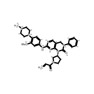 C=CC(=O)N1CC[C@H](N2C(=O)N(c3ccccc3)Cc3cnc(Nc4ccc(N5CCN(C)CC5)c(OC)c4)nc32)C1